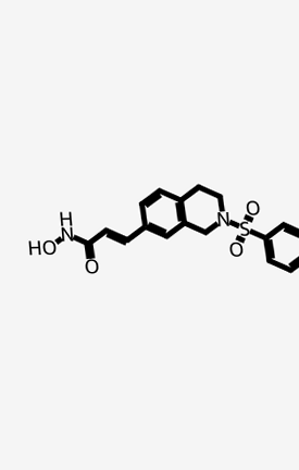 O=C(/C=C/c1ccc2c(c1)CN(S(=O)(=O)c1ccccc1)CC2)NO